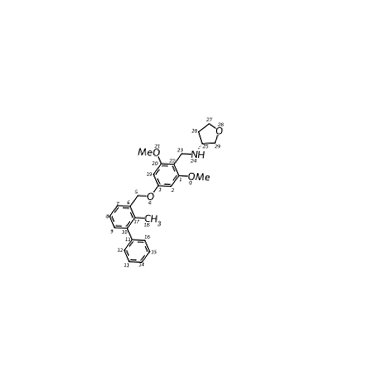 COc1cc(OCc2cccc(-c3ccccc3)c2C)cc(OC)c1CN[C@@H]1CCOC1